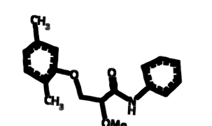 COC(COc1cc(C)ccc1C)C(=O)Nc1ccccc1